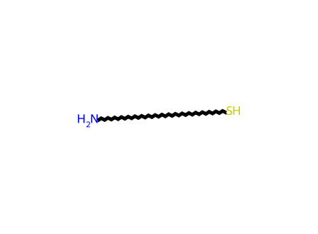 NCCCCCCCCCCCCCCCCCCCCCCCCCCCCCCCCCCCCCCCS